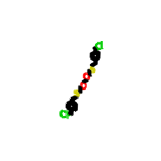 ClCc1ccc(CCSCCOCCOCCSCCc2ccc(CCl)cc2)cc1